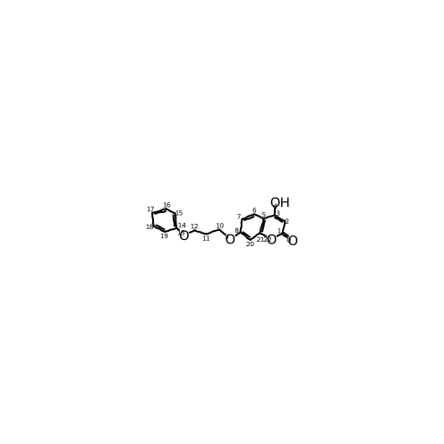 O=c1cc(O)c2ccc(OCCCOc3ccccc3)cc2o1